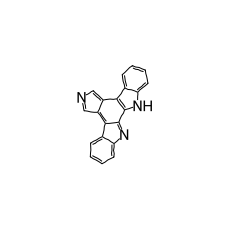 C1=NC=c2c1c1c(c3[nH]c4ccccc4c23)=Nc2ccccc2-1